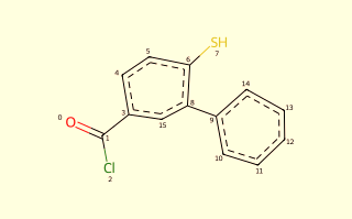 O=C(Cl)c1ccc(S)c(-c2ccccc2)c1